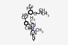 Cc1ccc(C(=O)CNc2cc(OCCN(C)C)cc(C(F)(F)F)c2)cc1NC(C)/N=C\N=C1\C=NC(N2CCC2)=NC1C